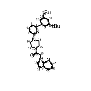 CC(C)(C)c1cc(-c2cccc(N3CCN(C(=O)Cn4ccc5cccnc54)CC3)n2)cc(C(C)(C)C)c1